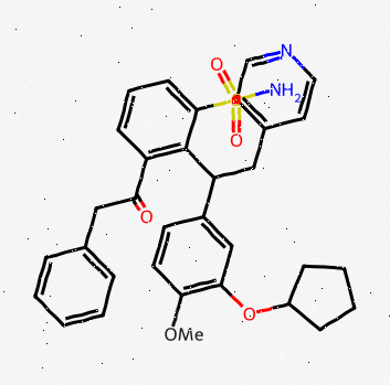 COc1ccc(C(Cc2ccncc2)c2c(C(=O)Cc3ccccc3)cccc2S(N)(=O)=O)cc1OC1CCCC1